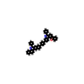 c1ccc(-c2nc3c4ccccc4ccc3c3cc4ccc(-c5ccc(-c6ccc7c(c6)nc(-c6ccccc6)c6ccc8c9ccccc9oc8c67)cc5)cc4cc23)cc1